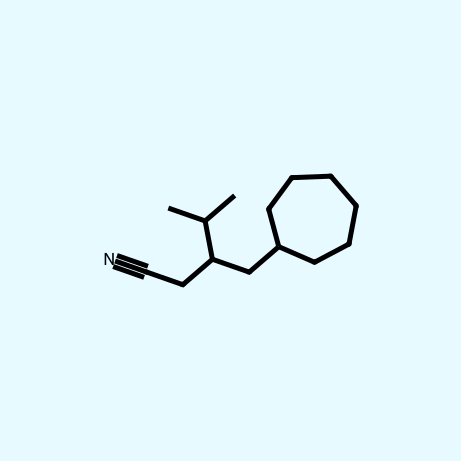 CC(C)C(CC#N)CC1CCCCCC1